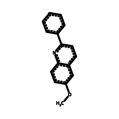 COc1ccc2nc(-c3cc[c]cc3)ccc2c1